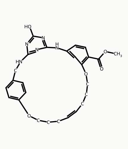 COC(=O)c1ccc2cc1OCCCC=CCCCOc1ccc(cc1)CNc1nc(O)nc(n1)N2